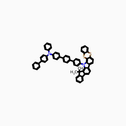 CC1(C)c2ccccc2-c2ccc3c4ccc5c(c4n(-c4ccc(-c6ccc(-c7ccc(N(c8ccccc8)c8ccc(-c9ccccc9)cc8)cc7)cc6)cc4)c3c21)Sc1ccccc1S5